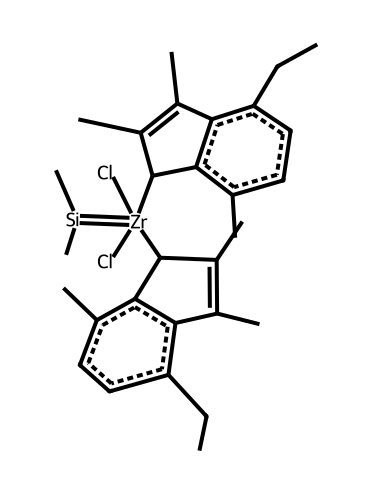 CCc1ccc(C)c2c1C(C)=C(C)[CH]2[Zr]([Cl])([Cl])([CH]1C(C)=C(C)c2c(CC)ccc(C)c21)=[Si](C)C